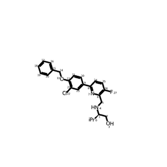 CC(C)[C@H](CO)NCc1nc(-c2ccc(OCc3ccccc3)c(Cl)c2)ccc1F